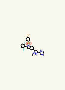 CCn1nc(-c2cnccn2)cc1-c1ccc2c(c1)cc(-c1c(F)cccc1F)n2S(=O)(=O)c1ccc(Br)cc1